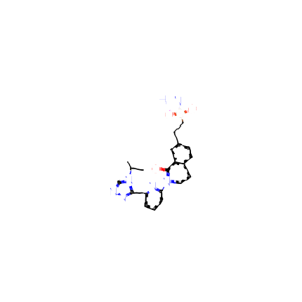 CC(C)n1cnnc1-c1cccc(-n2ccc3ccc(CCS(N)(=O)=O)cc3c2=O)n1